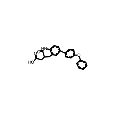 O=C(O)CC1Cc2cc(-c3ccc(Oc4ccccc4)cc3)ccc2NC1=O